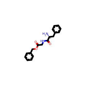 N[C@H](Cc1ccccc1)C(=O)NCC(=O)OCc1ccccc1